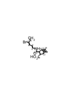 C=C/C(Br)=C\C=C\NC(=O)C1C(C(=O)O)C2CCC1C21CC1